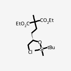 CCOC(=O)C(C)(CC[C@@H](CCl)O[Si](C)(C)C(C)(C)C)C(=O)OCC